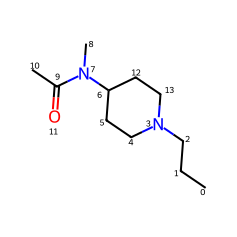 CCCN1CCC(N(C)C(C)=O)CC1